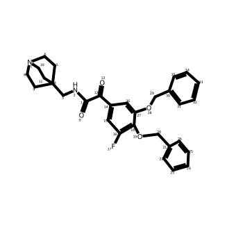 O=C(NCC12CCN(CC1)CC2)C(=O)c1cc(F)c(OCc2ccccc2)c(OCc2ccccc2)c1